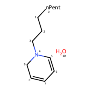 CCCCCCCCN1C=CC=CC1.O